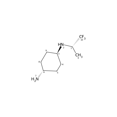 C[C@H](N[C@H]1CC[C@H](N)CC1)C(F)(F)F